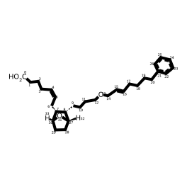 O=C(O)CCC/C=C\C[C@@H]1[C@H](CCCCOC/C=C/CCCCc2ccccc2)[C@@H]2CC[C@H]1O2